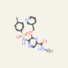 CCC(C)NC(=O)c1cnc(NS(=O)(=O)c2ccc(C)cc2)c(OCc2cccnc2)n1